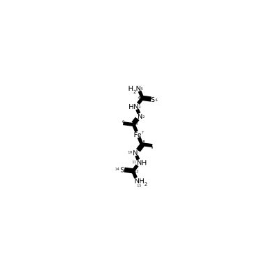 C/[C](=N\NC(N)=S)[Fe]/[C](C)=N/NC(N)=S